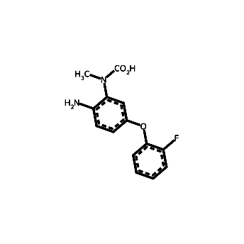 CN(C(=O)O)c1cc(Oc2ccccc2F)ccc1N